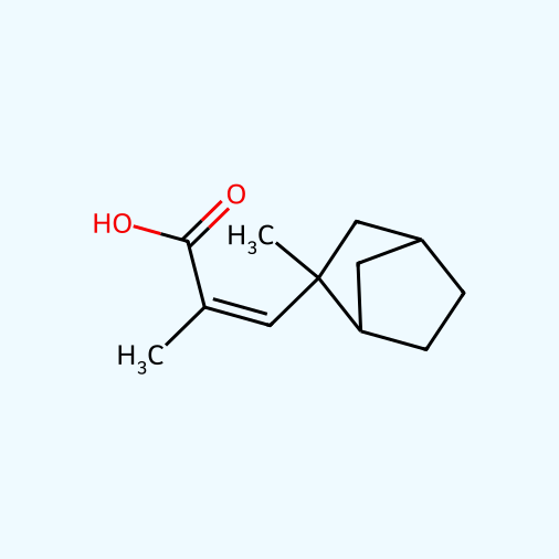 CC(=CC1(C)CC2CCC1C2)C(=O)O